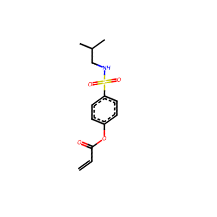 C=CC(=O)Oc1ccc(S(=O)(=O)NCC(C)C)cc1